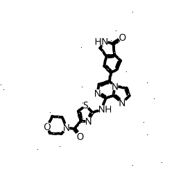 O=C1NCc2cc(-c3cnc(Nc4nc(C(=O)N5CCOCC5)cs4)c4nccn34)ccc21